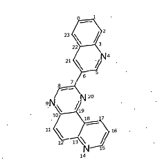 c1ccc2ncc(-c3cnc4ccc5ncccc5c4n3)cc2c1